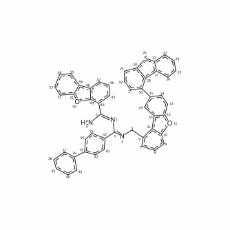 N/C(=N\C(=N/Cc1cccc2oc3ccc(-c4cccc5sc6ccccc6c45)cc3c12)c1ccc(-c2ccccc2)cc1)c1cccc2c1oc1ccccc12